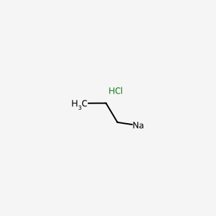 CC[CH2][Na].Cl